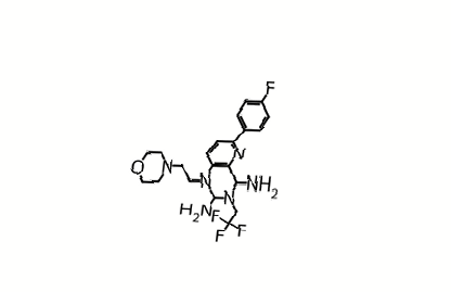 NC1c2nc(-c3ccc(F)cc3)ccc2N(CCN2CCOCC2)C(N)N1CC(F)(F)F